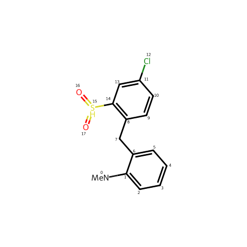 CNc1ccccc1Cc1ccc(Cl)cc1[SH](=O)=O